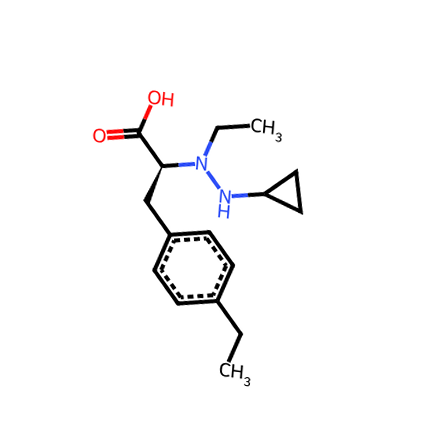 CCc1ccc(C[C@@H](C(=O)O)N(CC)NC2CC2)cc1